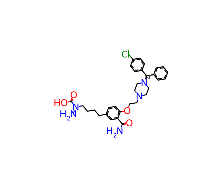 NC(=O)c1cc(CCCCN(N)C(=O)O)ccc1OCCN1CCN([C@H](c2ccccc2)c2ccc(Cl)cc2)CC1